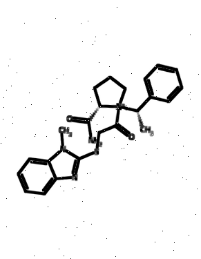 C[C@@H](c1ccccc1)[N+]1(C(=O)CSc2nc3ccccc3n2C)CCC[C@H]1C(N)=O